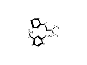 CN(C)COc1ccccc1.COc1cccc(CO)c1